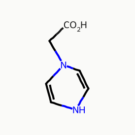 O=C(O)CN1C=CNC=C1